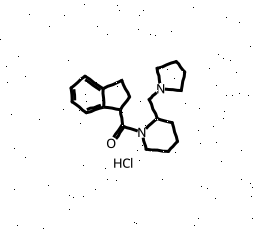 Cl.O=C(C1CCc2ccccc21)N1CCCCC1CN1CCCC1